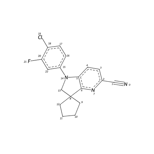 N#Cc1ccc2c(n1)C1(CCCC1)CN2c1ccc(Cl)c(F)c1